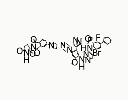 COc1cc(N2CCN(C[C@@H]3CCN(c4ccc5c(c4)C(=O)N(C4CCC(=O)NC4=O)C5=O)C3)CC2)c(-c2cnn(C)c2)cc1Nc1ncc(Br)c(Nc2ccc(-c3ccccc3)c(F)c2P(C)(C)=O)n1